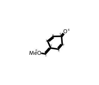 COC=C1C=CC(=O)C=C1